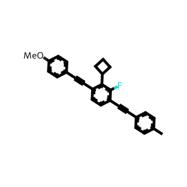 COc1ccc(C#Cc2ccc(C#Cc3ccc(C)cc3)c(F)c2C2CCC2)cc1